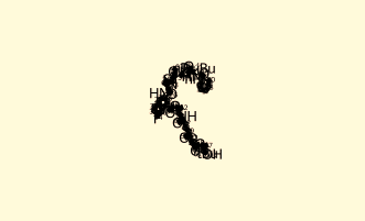 CCCO[C@H](C[C@H](C(C)C)N(CCC)C(=O)[C@@H](NC(=O)[C@H]1CCCCN1C)[C@@H](C)CC)c1nc(C(=O)N[C@H]2Cc3ccc(F)cc3[C@H](C(=O)OC(C)CNC(=O)CCCC(=O)OCC(OC(C)CO)OC(C)(C)C)C2)cs1